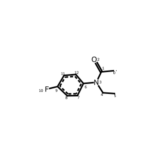 [CH2]C(=O)N(CC)c1ccc(F)cc1